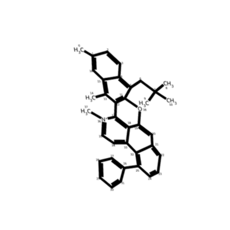 Cc1ccc2c(CC(C)(C)C)c3c(c(C)c2c1)-c1c2c(cc4cccc(-c5ccccc5)c4c2cc[n+]1C)O3